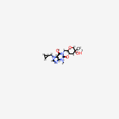 Cn1c(=O)n(CC2CCC(O)(C(F)(F)F)CO2)c(=O)c2c1ncn2CC1CC1